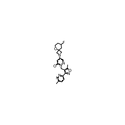 Cc1ccc(-c2noc(C)c2Cn2ncc(N3CC4(CC(F)CCO4)C3)cc2=O)nn1